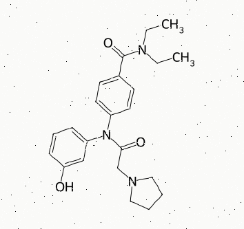 CCN(CC)C(=O)c1ccc(N(C(=O)CN2CCCC2)c2cccc(O)c2)cc1